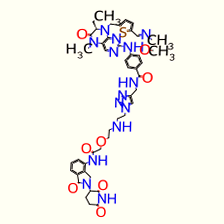 CC[C@@H]1C(=O)N(C)c2cnc(Nc3ccc(C(=O)NCc4cn(CCNCCOCC(=O)Nc5cccc6c5CN(C5CCC(=O)NC5=O)C6=O)nn4)cc3OC)nc2N1Cc1ccc(/C=N/C)s1